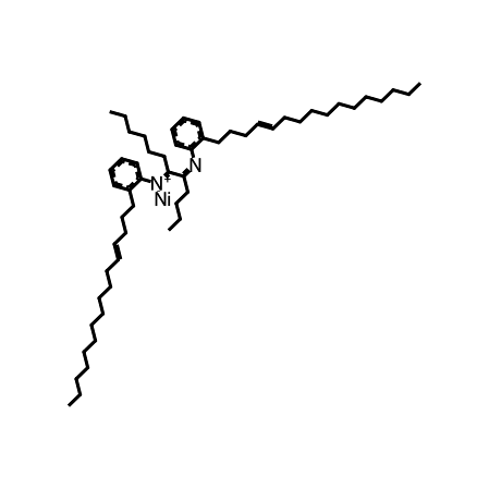 CCCCCCCCCCCC=CCCCc1ccccc1N=C(CCCC)C(CCCCCC)=[N+]([Ni])c1ccccc1CCCC=CCCCCCCCCCCC